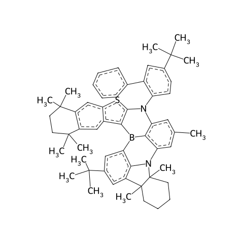 Cc1cc2c3c(c1)N1c4c(cc(C(C)(C)C)cc4C4(C)CCCCC14C)B3c1c(sc3cc4c(cc13)C(C)(C)CCC4(C)C)N2c1ccc(C(C)(C)C)cc1-c1ccccc1